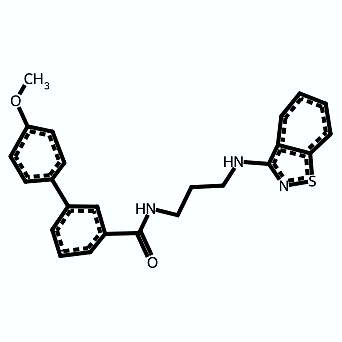 COc1ccc(-c2cccc(C(=O)NCCCNc3nsc4ccccc34)c2)cc1